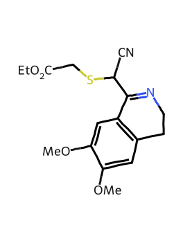 CCOC(=O)CSC(C#N)C1=NCCc2cc(OC)c(OC)cc21